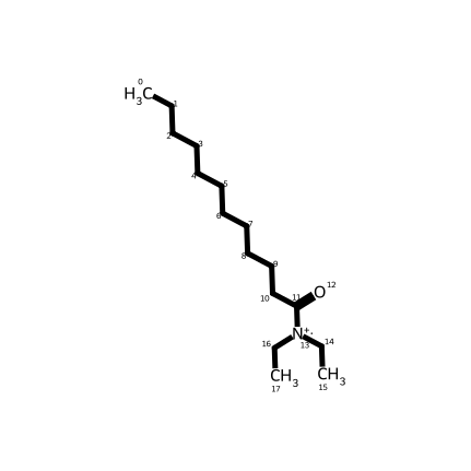 CCCCCCCCCCCC(=O)[N+](CC)CC